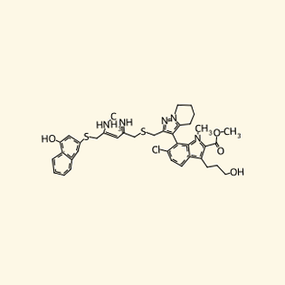 CN/C(=C\C(=N)CSCc1nn2c(c1-c1c(Cl)ccc3c(CCCO)c(C(=O)OC)n(C)c13)CCCC2)CSc1cc(O)c2ccccc2c1